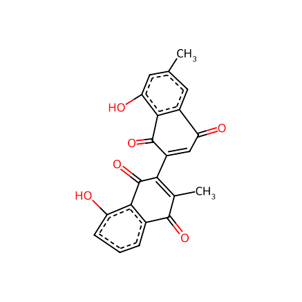 CC1=C(C2=CC(=O)c3cc(C)cc(O)c3C2=O)C(=O)c2c(O)cccc2C1=O